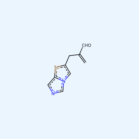 C=C(C=O)Cc1cn2cncc2s1